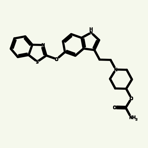 NC(=O)OC1CCN(CCc2c[nH]c3ccc(Oc4nc5ccccc5s4)cc23)CC1